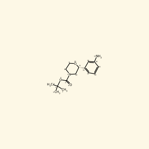 CC(C)(C)OC(=O)N1CCO[C@H](c2cccc(N)c2)C1